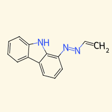 C=CN=Nc1cccc2c1[nH]c1ccccc12